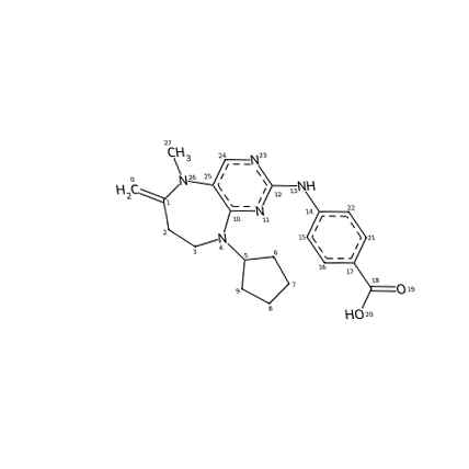 C=C1CCN(C2CCCC2)c2nc(Nc3ccc(C(=O)O)cc3)ncc2N1C